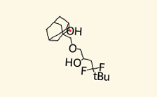 CC(C)(C)C(F)(F)CC(O)COCC12CC3CC(C1)C(O)C(C3)C2